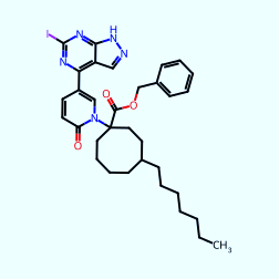 CCCCCCCC1CCCCC(C(=O)OCc2ccccc2)(n2cc(-c3nc(I)nc4[nH]ncc34)ccc2=O)CC1